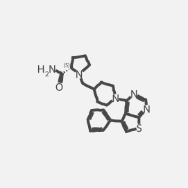 NC(=O)[C@@H]1CCCN1CC1CCN(c2ncnc3scc(-c4ccccc4)c23)CC1